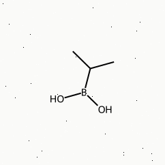 CC(C)B(O)O